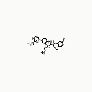 CN(C)CCOc1cc(-c2ccnc(N)n2)ccc1NC(=O)C1COc2ccc(F)cc2C1